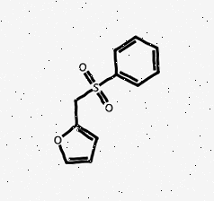 O=S(=O)(Cc1ccco1)c1ccccc1